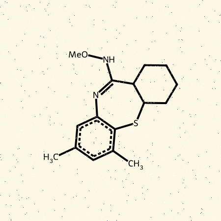 CONC1=Nc2cc(C)cc(C)c2SC2CCCCC12